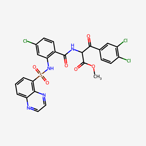 COC(=O)C(NC(=O)c1ccc(Cl)cc1NS(=O)(=O)c1cccc2nccnc12)C(=O)c1ccc(Cl)c(Cl)c1